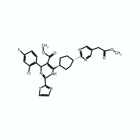 COC(=O)Cc1cnc([C@H]2CC[C@H](C3=C(C(=O)OC)C(c4ccc(F)cc4Cl)N=C(c4nccs4)N3)CC2)nc1